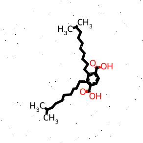 CC(C)CCCCCCCCc1c(C(=O)O)ccc(C(=O)O)c1CCCCCCCCC(C)C